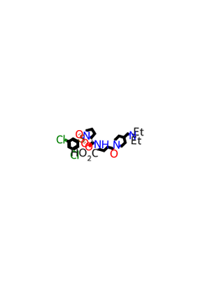 CCN(CC)CC1CCN(C(=O)CC[C@H](NC(=O)[C@H]2CCCN2S(=O)(=O)c2cc(Cl)cc(Cl)c2)C(=O)O)CC1